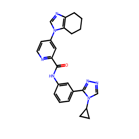 O=C(Nc1cccc(-c2nncn2C2CC2)c1)c1cc(-n2cnc3c2CCCC3)ccn1